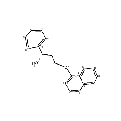 O[C@@H](CCOc1cccc2ccccc12)c1ccccc1